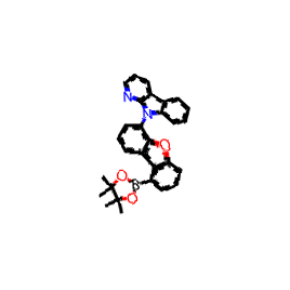 CC1(C)OB(c2cccc3oc4c(-n5c6ccccc6c6cccnc65)cccc4c23)OC1(C)C